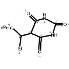 CCCCCC(CC)C1C(=O)NC(=O)NC1=O